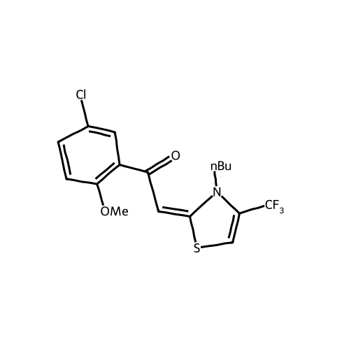 CCCCN1C(=CC(=O)c2cc(Cl)ccc2OC)SC=C1C(F)(F)F